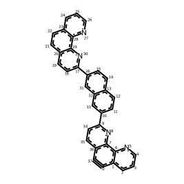 c1c2cccnc2c2nc(-c3ccc4ccc(-c5ccc6ccc7cccnc7c6n5)cc4c3)ccc2c#1